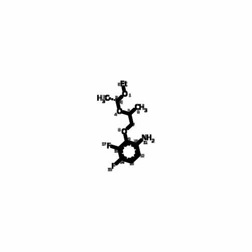 CCO[C@@H](C)OC(C)COc1c(N)ccc(F)c1F